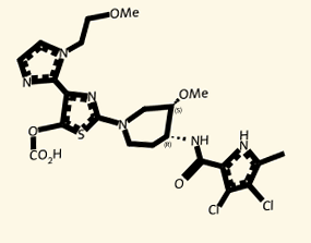 COCCn1ccnc1-c1nc(N2CC[C@@H](NC(=O)c3[nH]c(C)c(Cl)c3Cl)[C@@H](OC)C2)sc1OC(=O)O